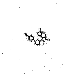 C[C@@H]1CCN(c2ccc(C#N)cn2)C[C@@H]1n1[nH]c(=O)c2cnc3c(c21)CCN3